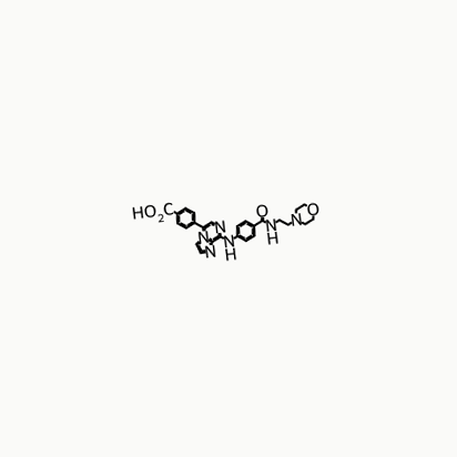 O=C(O)c1ccc(-c2cnc(Nc3ccc(C(=O)NCCN4CCOCC4)cc3)c3nccn23)cc1